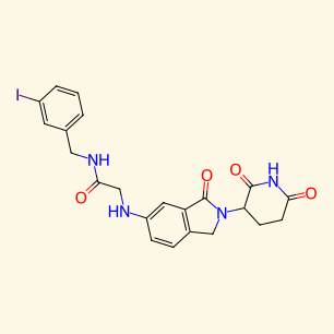 O=C(CNc1ccc2c(c1)C(=O)N(C1CCC(=O)NC1=O)C2)NCc1cccc(I)c1